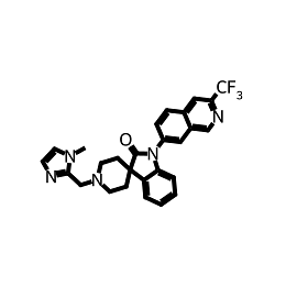 Cn1ccnc1CN1CCC2(CC1)C(=O)N(c1ccc3cc(C(F)(F)F)ncc3c1)c1ccccc12